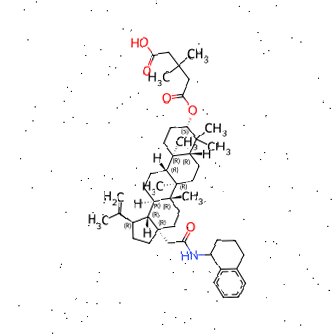 C=C(C)[C@@H]1CC[C@]2(CC(=O)NC3CCCc4ccccc43)CC[C@]3(C)[C@H](CC[C@@H]4[C@@]5(C)CC[C@H](OC(=O)CC(C)(C)CC(=O)O)C(C)(C)[C@@H]5CC[C@]43C)[C@@H]12